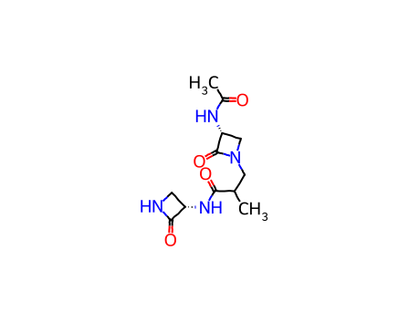 CC(=O)N[C@@H]1CN(CC(C)C(=O)N[C@H]2CNC2=O)C1=O